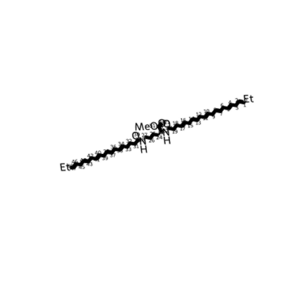 CCC=CCC=CCC=CCC=CCC=CCC=CCCC(=O)N[C@@H](CCCCNC(=O)CCCC=CCC=CCC=CCC=CCC=CCC)C(=O)OC